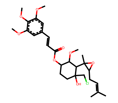 COc1cc(/C=C/C(=O)OC2CCC(O)(CCl)C(C3(C)OC3CC=C(C)C)C2OC)cc(OC)c1OC